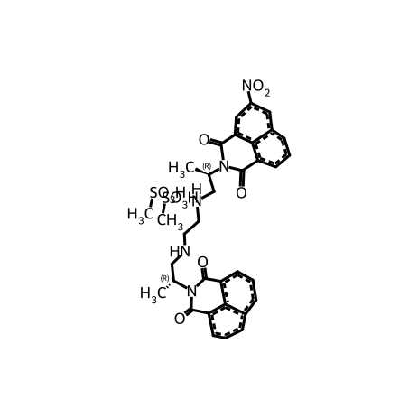 CS(=O)(=O)O.CS(=O)(=O)O.C[C@H](CNCCNC[C@@H](C)N1C(=O)c2cccc3cc([N+](=O)[O-])cc(c23)C1=O)N1C(=O)c2cccc3cccc(c23)C1=O